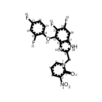 O=c1c([N+](=O)[O-])cccn1Cc1nc2c(Oc3ccc(F)cc3F)c(F)c(F)cc2[nH]1